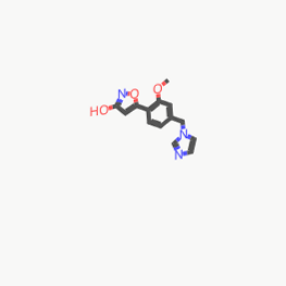 COc1cc(Cn2ccnc2)ccc1-c1cc(O)no1